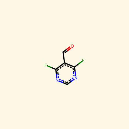 O=Cc1c(F)ncnc1F